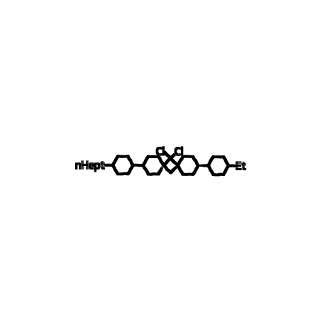 CCCCCCCC1CCC(C2CC[C@]3(CC2)C[C@@]2(CC[C@H](C4CCC(CC)CC4)CC2)C3(Cl)Cl)CC1